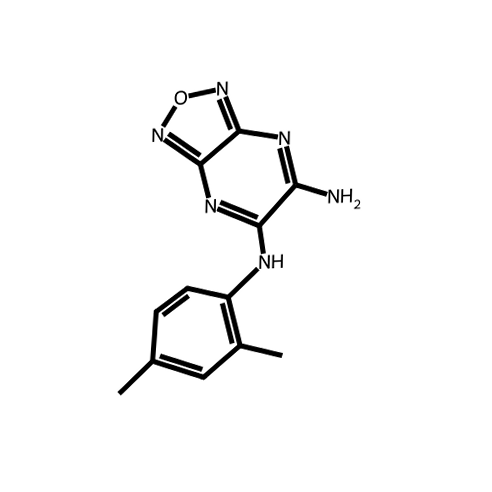 Cc1ccc(Nc2nc3nonc3nc2N)c(C)c1